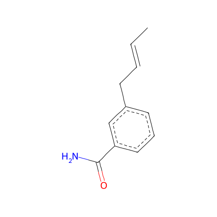 CC=CCc1cccc(C(N)=O)c1